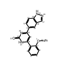 CCCOc1ccccc1-c1cc(-c2ccc3[nH]ncc3c2)nc(=O)[nH]1